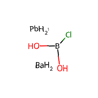 OB(O)Cl.[BaH2].[PbH2]